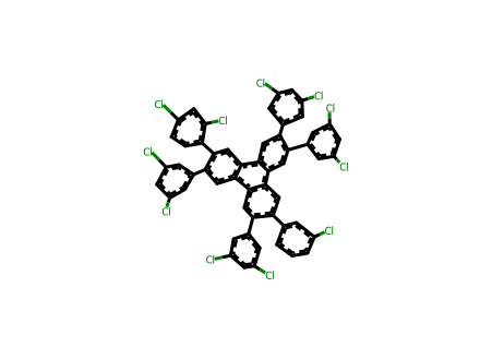 Clc1cccc(-c2cc3c4cc(-c5cc(Cl)cc(Cl)c5)c(-c5cc(Cl)cc(Cl)c5)cc4c4cc(-c5ccc(Cl)cc5Cl)c(-c5cc(Cl)cc(Cl)c5)cc4c3cc2-c2cc(Cl)cc(Cl)c2)c1